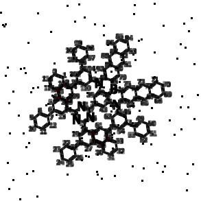 c1ccc(-c2cc(-c3ccccc3)cc(-c3nc(-c4cc(-c5ccccc5)cc(-c5ccccc5)c4)nc(-c4cc5c6c(c4)N(c4cc(-c7ccccc7)cc(-c7ccccc7)c4)c4cc7cc8ccccc8cc7cc4B6c4cc6cc7ccccc7cc6cc4N5c4cc(-c5ccccc5)cc(-c5ccccc5)c4)n3)c2)cc1